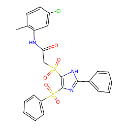 Cc1ccc(Cl)cc1NC(=O)CS(=O)(=O)c1[nH]c(-c2ccccc2)nc1S(=O)(=O)c1ccccc1